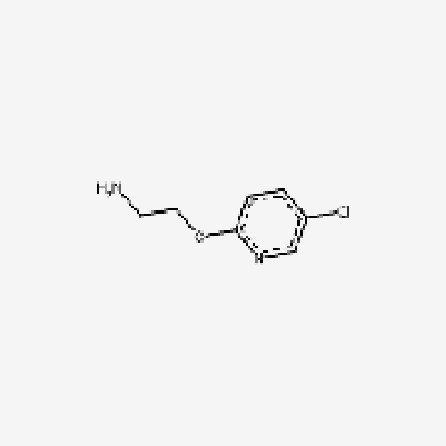 NCCOc1ccc(Cl)cn1